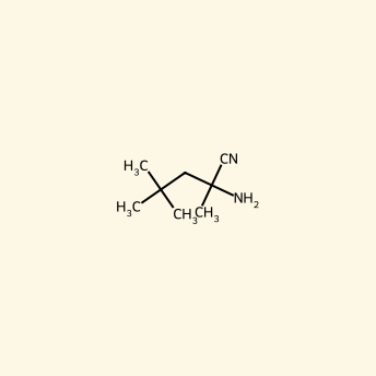 CC(C)(C)CC(C)(N)C#N